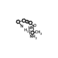 Cc1cc(N)nc(C)c1CNC(=O)c1ccc2c(c1)c1oc2c2ccc(-c3ccccc3C#N)cc21